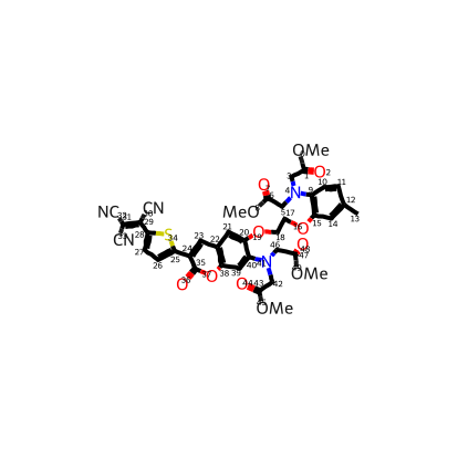 COC(=O)CN(CC(=O)OC)c1ccc(C)cc1OCCOc1cc2cc(-c3ccc(C(C#N)=C(C#N)C#N)s3)c(=O)oc2cc1N(CC(=O)OC)CC(=O)OC